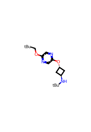 CC(C)(C)COc1cnc(O[C@H]2C[C@H](NC(C)(C)C)C2)cn1